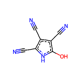 N#Cc1[nH]c(O)c(C#N)c1C#N